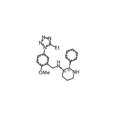 CCc1nnnn1-c1ccc(OC)c(CN[C@@H]2CCCN[C@@H]2c2ccccc2)c1